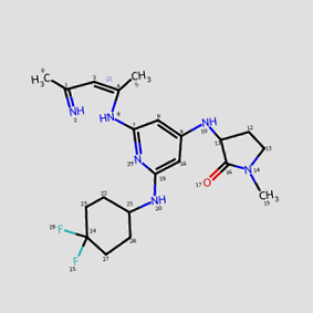 CC(=N)/C=C(/C)Nc1cc(NC2CCN(C)C2=O)cc(NC2CCC(F)(F)CC2)n1